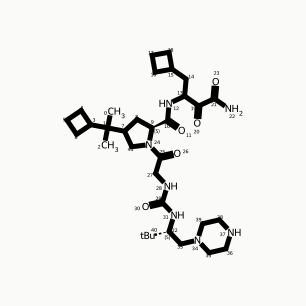 CC(C)(C1CCC1)C1C[C@@H](C(=O)NC(CC2CCC2)C(=O)C(N)=O)N(C(=O)CNC(=O)N[C@H](CN2CCNCC2)C(C)(C)C)C1